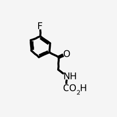 O=C(O)NCC(=O)c1cccc(F)c1